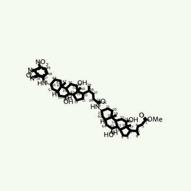 COC(=O)CCC(C)C1CCC2[C@@H]3C(CC(O)C12C)C1(C)CC[C@@H](NC(=O)CCC(C)C2CCC4[C@@H]5C(CC(O)C24C)C2(C)CC[C@@H](Nc4ccc([N+](=O)[O-])c6nonc46)C[C@H]2C[C@@H]5O)C[C@H]1C[C@@H]3O